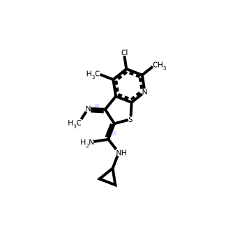 C/N=C1\C(=C(/N)NC2CC2)Sc2nc(C)c(Cl)c(C)c21